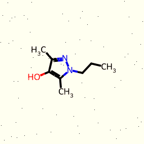 CCCn1nc(C)c(O)c1C